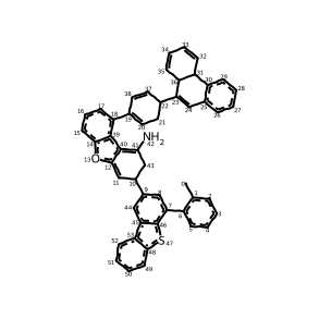 Cc1ccccc1-c1cc(C2C=c3oc4cccc(C5=CCC(C6=Cc7ccccc7C7C=CC=CC67)C=C5)c4c3=C(N)C2)cc2c1sc1ccccc12